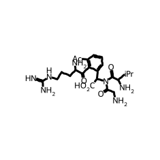 CC(=O)c1cccc(C(C(=O)O)N(C(=O)CN)C(=O)C(N)C(C)C)c1C(=O)C(N)CCCNC(=N)N